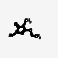 CC(C)n1nc(OCC(F)(F)F)n(C)c1=O